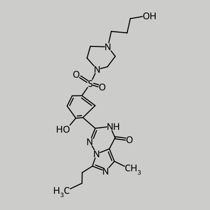 CCCc1nc(C)c2c(=O)[nH]c(-c3cc(S(=O)(=O)N4CCN(CCCO)CC4)ccc3O)nn12